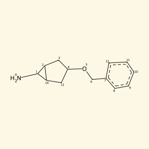 NC1C2CC(OCc3ccccc3)CC12